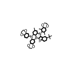 Cc1cc2c3c(c1)N(c1c(C)cc4c(c1C)OCCO4)c1c(sc4ccc(C(C)(C)C)cc14)B3c1cc3c(cc1N2c1ccc2c(c1)OCCO2)OCCO3